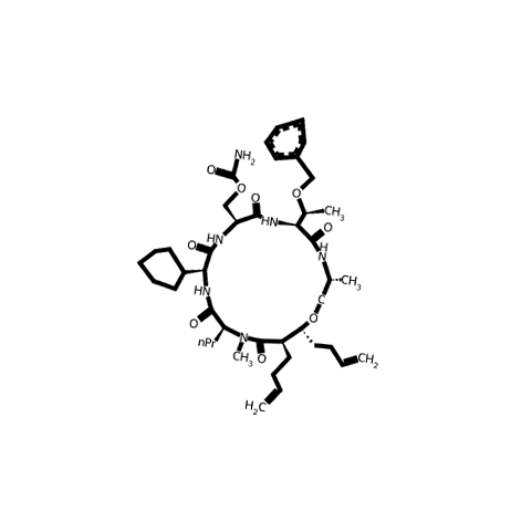 C=CCC[C@H]1OC[C@@H](C)NC(=O)[C@H]([C@H](C)OCc2ccccc2)NC(=O)[C@H](COC(N)=O)NC(=O)[C@H](C2CCCCC2)NC(=O)[C@H](CCC)N(C)C(=O)[C@@H]1CCC=C